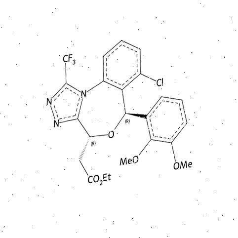 CCOC(=O)C[C@H]1O[C@H](c2cccc(OC)c2OC)c2c(Cl)cccc2-n2c1nnc2C(F)(F)F